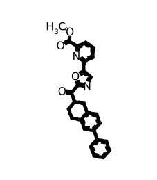 COC(=O)c1cccc(-c2cnc(C(=O)C3CCc4cc(-c5ccccc5)ccc4C3)o2)n1